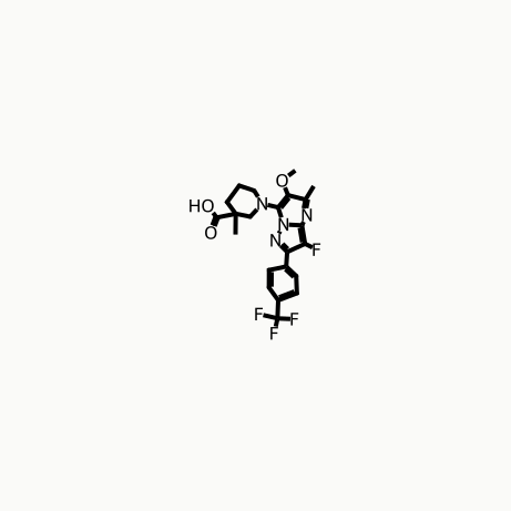 COc1c(C)nc2c(F)c(-c3ccc(C(F)(F)F)cc3)nn2c1N1CCCC(C)(C(=O)O)C1